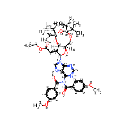 CCOC(=O)/C=C1/[C@H](n2cnc3c(N(C(=O)c4ccc(OC)cc4)C(=O)c4ccc(OC)cc4)ncnc32)O[C@@H]2CO[Si](C(C)C)(C(C)C)O[Si](C(C)C)(C(C)C)O[C@@H]12